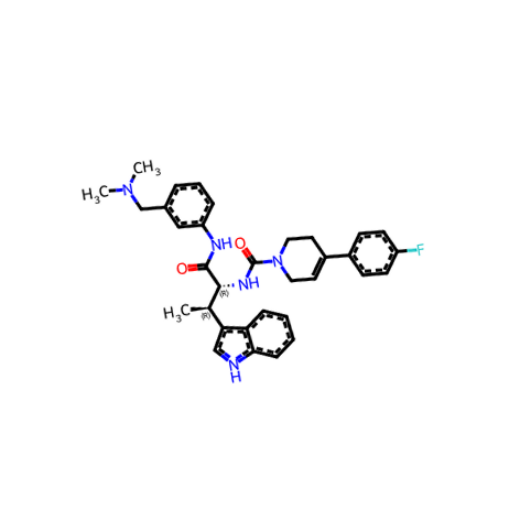 C[C@H](c1c[nH]c2ccccc12)[C@@H](NC(=O)N1CC=C(c2ccc(F)cc2)CC1)C(=O)Nc1cccc(CN(C)C)c1